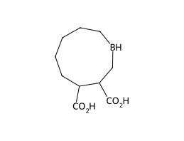 O=C(O)C1CBCCCCCC1C(=O)O